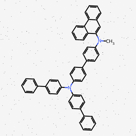 CN(c1ccc(-c2ccc(N(c3ccc(-c4ccccc4)cc3)c3ccc(-c4ccccc4)cc3)cc2)cc1)c1cc2ccccc2c2ccccc12